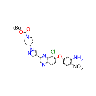 CC(C)(C)OC(=O)N1CCC(n2cc(-c3cnc4ccc(Oc5ccc([N+](=O)[O-])c(N)c5)c(Cl)c4n3)cn2)CC1